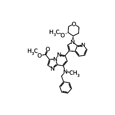 COC(=O)c1cnc2c(N(C)Cc3ccccc3)cc(-c3cn([C@@H]4CCOC[C@H]4OC)c4ncccc34)nn12